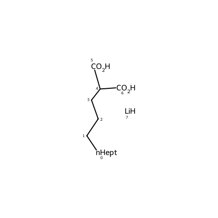 CCCCCCCCCCC(C(=O)O)C(=O)O.[LiH]